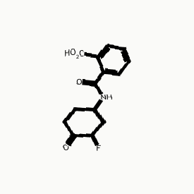 O=C(O)c1ccccc1C(=O)NC1CCC(=O)C(F)C1